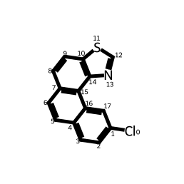 Clc1ccc2ccc3ccc4scnc4c3c2c1